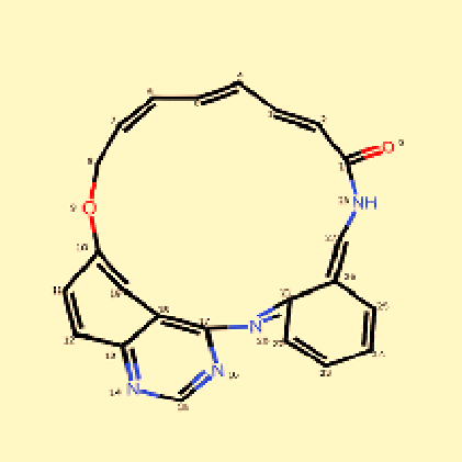 O=C1/C=C/C=C/C=C\COc2ccc3ncnc(c3c2)/N=c2\cccc\c2=C/N1